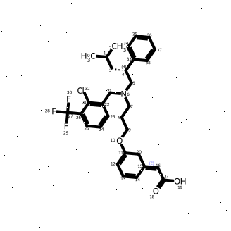 CC(C)C[C@@H](CN(CCCOC1=CC=C/C(=C\C(=O)O)C1)Cc1cccc(C(F)(F)F)c1Cl)c1ccccc1